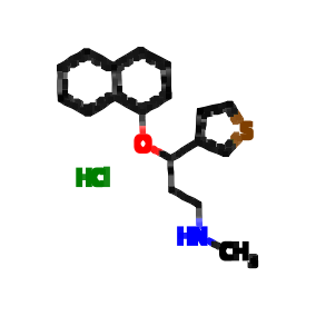 CNCCC(Oc1cccc2ccccc12)c1ccsc1.Cl